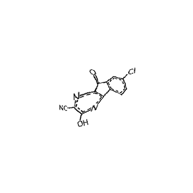 N#Cc1nc2c(nc1O)-c1ccc(Cl)cc1C2=O